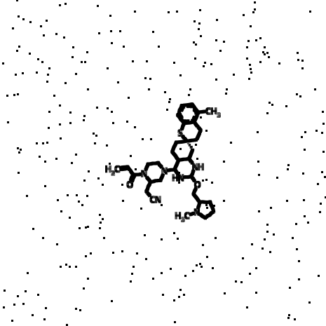 C=CC(=O)N1CCN(C2NC(OCC3CCCN3C)NC3C[C@]4(CCc5c(C)cccc5S4)CCC32)CC1CC#N